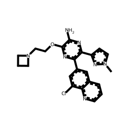 Cn1ccc(-c2nc(N)c(OCCN3CCC3)nc2-c2cc(Cl)c3ncccc3c2)n1